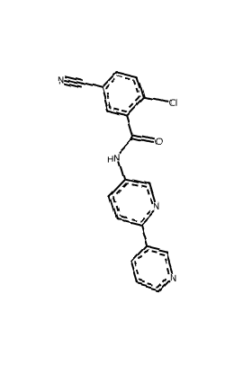 N#Cc1ccc(Cl)c(C(=O)Nc2ccc(-c3cccnc3)nc2)c1